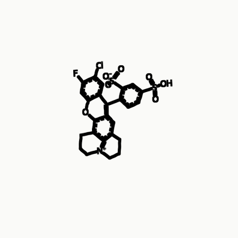 O=S(=O)([O-])c1cc(S(=O)(=O)O)ccc1C1=c2cc3c4c(c2Oc2cc(F)c(Cl)cc21)CCC[N+]=4CCC3